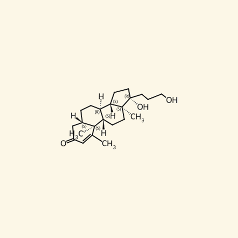 CC1=CC(=O)C[C@@H]2CC[C@@H]3[C@H](CC[C@@]4(C)[C@H]3CC[C@@]4(O)CCCO)[C@@]12C